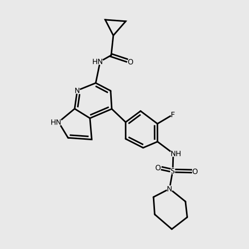 O=C(Nc1cc(-c2ccc(NS(=O)(=O)N3CCCCC3)c(F)c2)c2cc[nH]c2n1)C1CC1